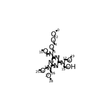 COCOCOCN(COC)c1nc(N(CO)COC)nc(N(COC)COC)n1